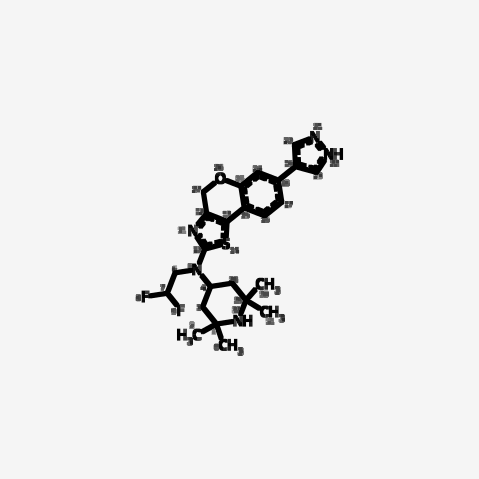 CC1(C)CC(N(CC(F)F)c2nc3c(s2)-c2ccc(-c4cn[nH]c4)cc2OC3)CC(C)(C)N1